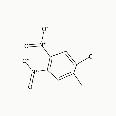 Cc1cc([N+](=O)[O-])c([N+](=O)[O-])cc1Cl